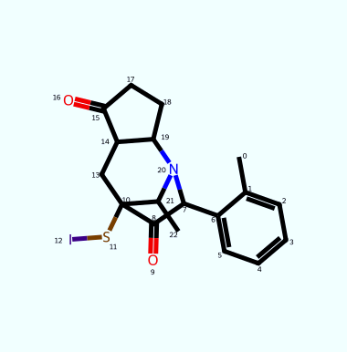 Cc1ccccc1C1C(=O)C2(SI)CC3C(=O)CCC3N1C2C